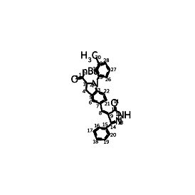 CCCCC(=O)C1Cc2cc(/C=C3\C(=O)NN=C3c3ccccc3)ccc2N1c1cccc(C)c1